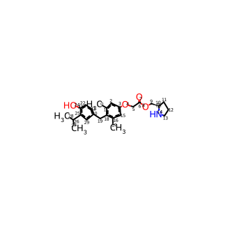 Cc1cc(OCC(=O)OC[C@H]2CCCN2)cc(C)c1Cc1ccc(O)c(C(C)C)c1